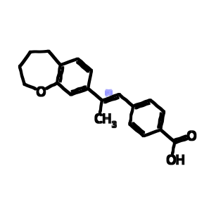 C/C(=C\c1ccc(C(=O)O)cc1)c1ccc2c(c1)OCCCC2